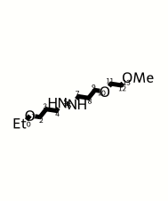 CCOCCCNNCCCOCCOC